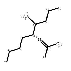 CC(=O)O.CCCCCC(N)CCC